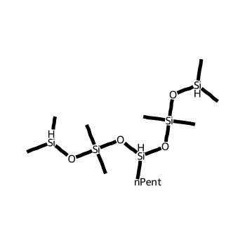 CCCCC[SiH](O[Si](C)(C)O[SiH](C)C)O[Si](C)(C)O[SiH](C)C